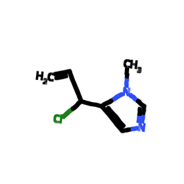 C=CC(Cl)c1cncn1C